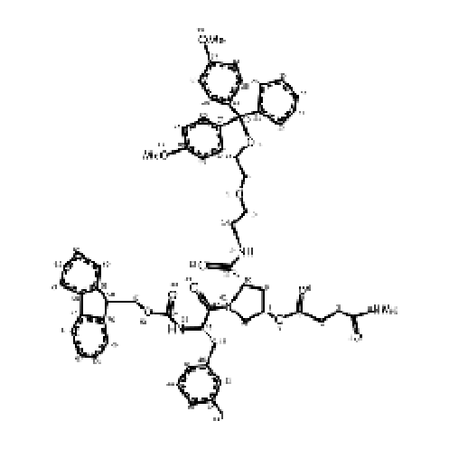 CNC(=O)CCC(=O)O[C@@H]1C[C@@H](C(=O)NCCOCCOC(c2ccccc2)(c2ccc(OC)cc2)c2ccc(OC)cc2)N(C(=O)[C@H](Cc2cccc(I)c2)NC(=O)OCC2c3ccccc3-c3ccccc32)C1